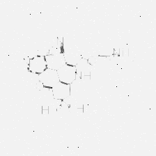 CC1(C)CC(=O)C2=C(C1)NC(COCCN)=C(C#N)C2c1ccncc1Cl